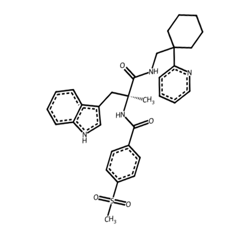 C[C@@](Cc1c[nH]c2ccccc12)(NC(=O)c1ccc(S(C)(=O)=O)cc1)C(=O)NCC1(c2ccccn2)CCCCC1